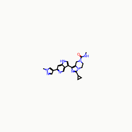 CNC(=O)N1CCn2c(C3CC3)nc(-c3c[nH]c4cc(-c5cnn(C)c5)ncc34)c2C1